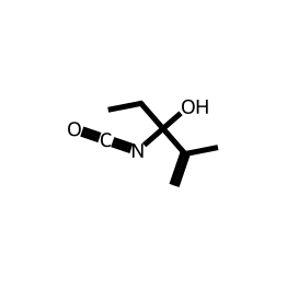 C=C(C)C(O)(CC)N=C=O